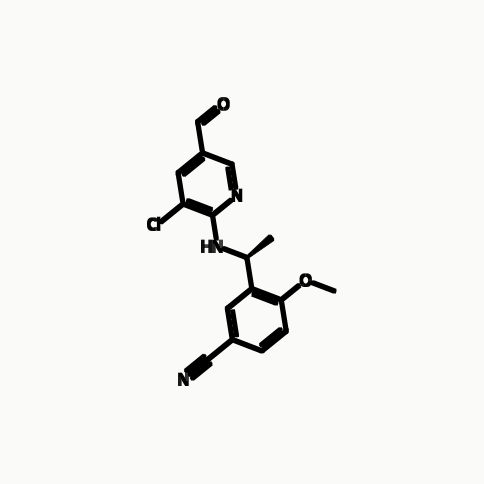 COc1ccc(C#N)cc1[C@H](C)Nc1ncc(C=O)cc1Cl